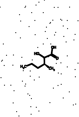 CCC[C@H](C)C(O)C(=O)O